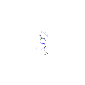 N=C(/C=C(\N)C1CC1)Nc1nc(Br)ncc1Cl